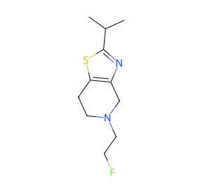 CC(C)c1nc2c(s1)CCN(CCF)C2